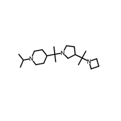 CC(C)N1CCC(C(C)(C)N2CCC(C(C)(C)N3CCC3)C2)CC1